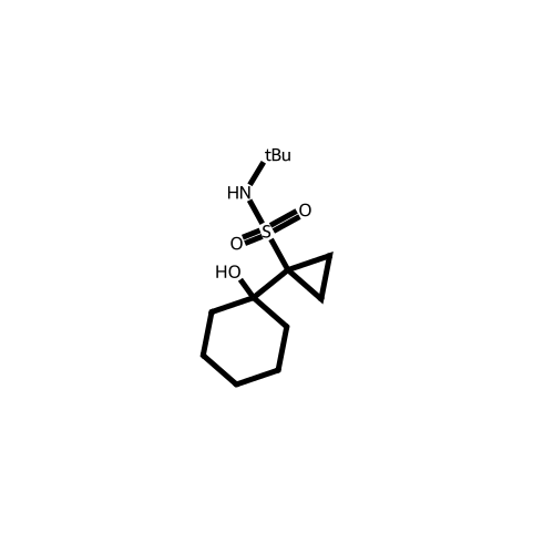 CC(C)(C)NS(=O)(=O)C1(C2(O)CCCCC2)CC1